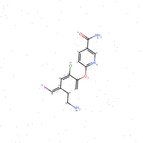 C=C(Oc1ccc(C(N)=O)cn1)/C(Cl)=C\C(=C/I)CCN